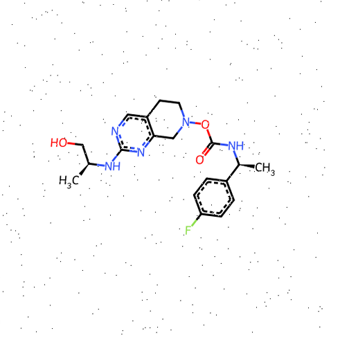 C[C@H](NC(=O)ON1CCc2cnc(N[C@@H](C)CO)nc2C1)c1ccc(F)cc1